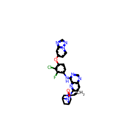 C=CC(=O)N1C2CC1CN(c1ccc3ncnc(Nc4ccc(Oc5ccn6ncnc6c5)c(Cl)c4F)c3n1)C2